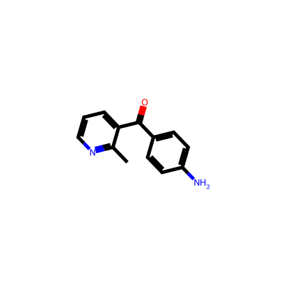 Cc1ncccc1C(=O)c1ccc(N)cc1